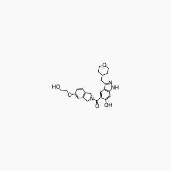 O=C(c1cc2c(CC3CCOCC3)n[nH]c2cc1O)N1Cc2ccc(OCCO)cc2C1